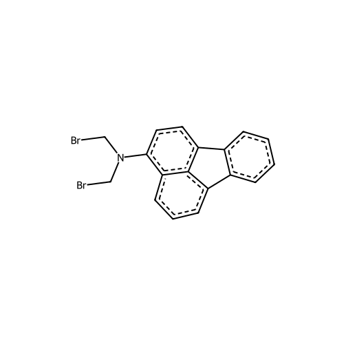 BrCN(CBr)c1ccc2c3c(cccc13)-c1ccccc1-2